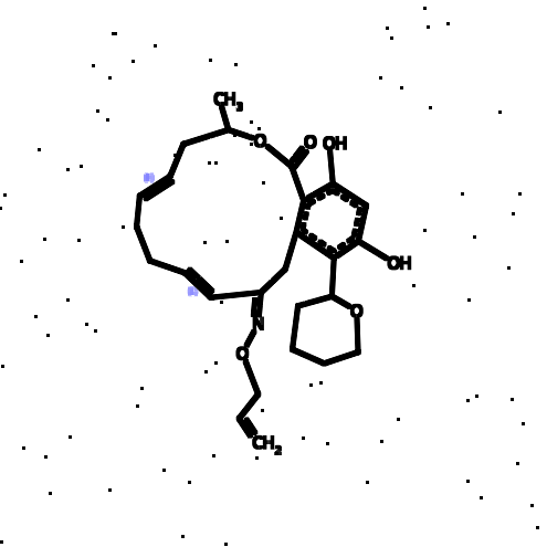 C=CCON=C1/C=C/CC/C=C/CC(C)OC(=O)c2c(O)cc(O)c(C3CCCCO3)c2C1